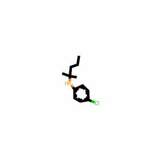 CCCC(C)(C)Pc1ccc(Cl)cc1